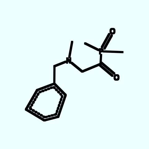 CN(CC(=O)P(C)(C)=O)Cc1ccccc1